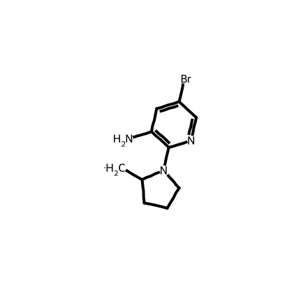 [CH2]C1CCCN1c1ncc(Br)cc1N